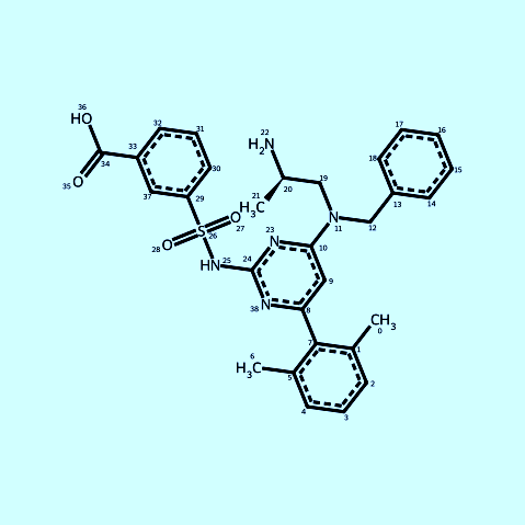 Cc1cccc(C)c1-c1cc(N(Cc2ccccc2)C[C@@H](C)N)nc(NS(=O)(=O)c2cccc(C(=O)O)c2)n1